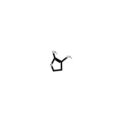 CC1=C(C)[N]CC1